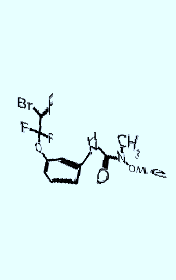 CON(C)C(=O)Nc1cccc(OC(F)(F)C(F)Br)c1